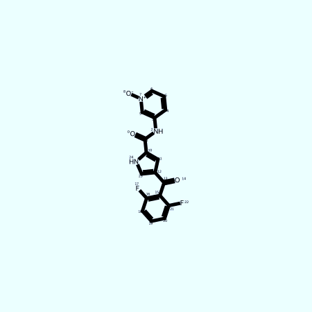 O=C(Nc1ccc[n+]([O-])c1)c1cc(C(=O)c2c(F)cccc2F)c[nH]1